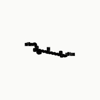 CCCCCC/C=C\COC(=O)CCCCCCCNCCCCc1cccc(C(=O)OC/C=C\CCCCCC)c1